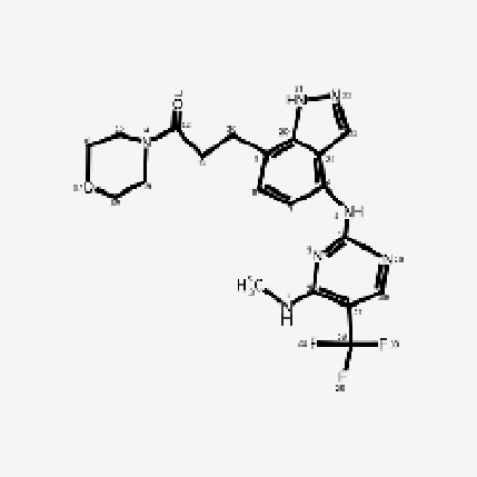 CNc1nc(Nc2ccc(CCC(=O)N3CCOCC3)c3[nH]ncc23)ncc1C(F)(F)F